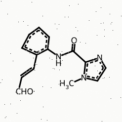 Cn1ccnc1C(=O)Nc1ccccc1/C=C/[C]=O